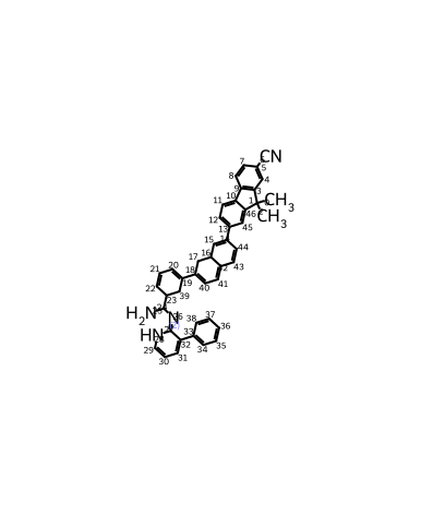 CC1(C)c2cc(C#N)ccc2-c2ccc(C3=CC4CC(C5=CC=CC(C(N)/N=c6\[nH]cccc6-c6ccccc6)C5)=CC=C4C=C3)cc21